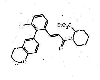 CCOC(=O)C1CCCCN1C(=O)/C=C/c1cc[c]c(Cl)c1-c1ccc2c(c1)CCOO2